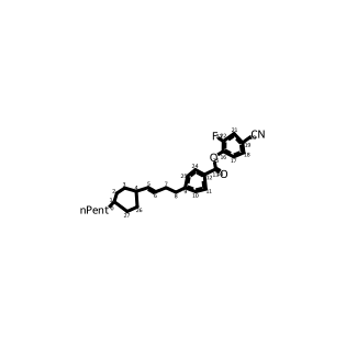 CCCCCC1CCC(C=CCCc2ccc(C(=O)Oc3ccc(C#N)cc3F)cc2)CC1